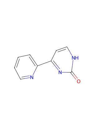 O=c1nc(-c2ccccn2)cc[nH]1